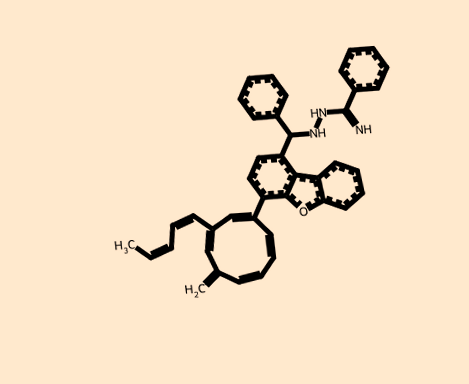 C=C1\C=C/C=C\C(c2ccc(C(NNC(=N)c3ccccc3)c3ccccc3)c3c2oc2ccccc23)=C/C(/C=C\C=C/C)=C\1